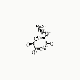 O=C([O-])C(=O)[O-].O=C([O-])C(=O)[O-].[Fe+2].[NH4+].[NH4+]